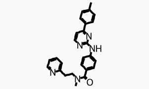 Cc1ccc(-c2ccnc(Nc3ccc(C(=O)N(C)CCc4ccccn4)cc3)n2)cc1